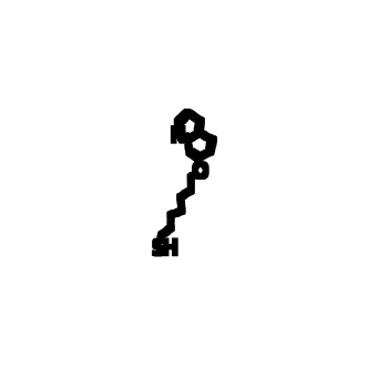 SCCCCCCCOc1ccc2cccnc2c1